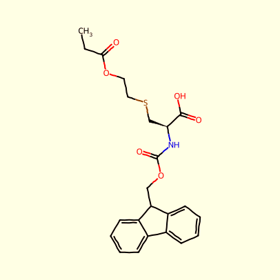 CCC(=O)OCCSC[C@H](NC(=O)OCC1c2ccccc2-c2ccccc21)C(=O)O